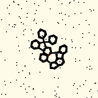 c1ccc(-n2ccc3ccc4c5ccccc5n(-c5ccc6c(c5)C(c5ccccc5)(c5ccccc5)c5ccccc5-6)c4c32)cc1